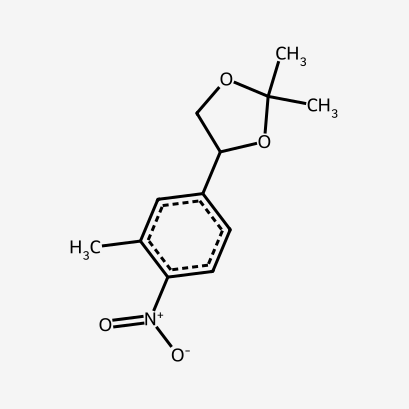 Cc1cc(C2COC(C)(C)O2)ccc1[N+](=O)[O-]